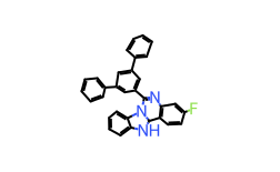 Fc1ccc2c(c1)N=C(c1cc(-c3ccccc3)cc(-c3ccccc3)c1)N1c3ccccc3NC21